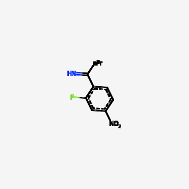 C[CH]CC(=N)c1ccc([N+](=O)[O-])cc1F